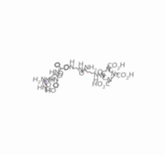 CCNC(=O)/N=C(/N)NCCC[C@@H](NC(=O)[C@@H](c1ccccc1)c1ccc(NCCCNC(=O)[C@H](N)CCCCNC(=O)CN2CCN(CC(=O)O)CCN(CC(=O)O)CCN(CC(=O)O)CC2)cc1)C(=O)NCc1ccc(O)cc1